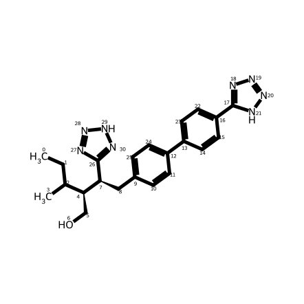 CCC(C)[C@H](CO)[C@H](Cc1ccc(-c2ccc(-c3nnn[nH]3)cc2)cc1)c1nn[nH]n1